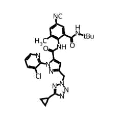 [C-]#[N+]c1cc(C)c(NC(=O)c2cc(Cn3nnc(C4CC4)n3)nn2-c2ncccc2Cl)c(C(=O)NC(C)(C)C)c1